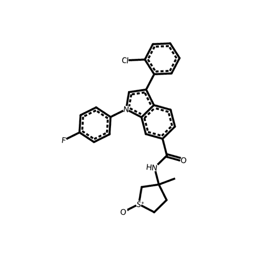 CC1(NC(=O)c2ccc3c(-c4ccccc4Cl)cn(-c4ccc(F)cc4)c3c2)CC[S+]([O-])C1